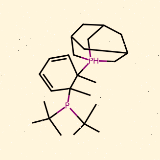 CC(C)(C)P(C(C)(C)C)C1(C)C=CC=CC1(C)[PH]12CC3CC(CC(C3)C1)C2